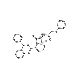 O=C(COc1ccccc1)N[C@@H]1C(=O)N2C(C(=O)OC(c3ccccc3)c3ccccc3)=CCS[C@H]12